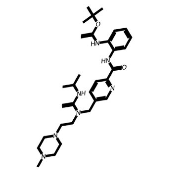 C=C(Nc1ccccc1NC(=O)c1ccc(CN(CCN2CCN(C)CC2)C(=C)NC(C)C)cn1)OC(C)(C)C